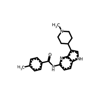 Cc1ccc(C(=O)Nc2ccc3[nH]cc(C4CCN(C)CC4)c3n2)cc1